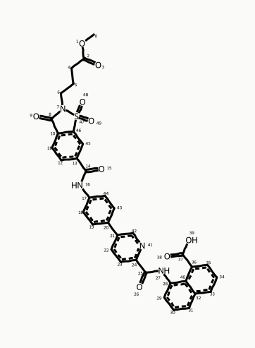 COC(=O)CCCN1C(=O)c2ccc(C(=O)Nc3ccc(-c4ccc(C(=O)Nc5cccc6cccc(C(=O)O)c56)nc4)cc3)cc2S1(=O)=O